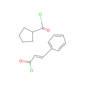 O=C(Cl)/C=C/c1ccccc1.O=C(Cl)C1CCCC1